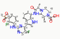 CC(C(=O)Nc1cccc2c(-c3nc(Nc4cccc(S(C)(=O)=O)c4F)ncc3F)c[nH]c12)N1C[C@H](C)N(C(=O)O)[C@@H](C)C1